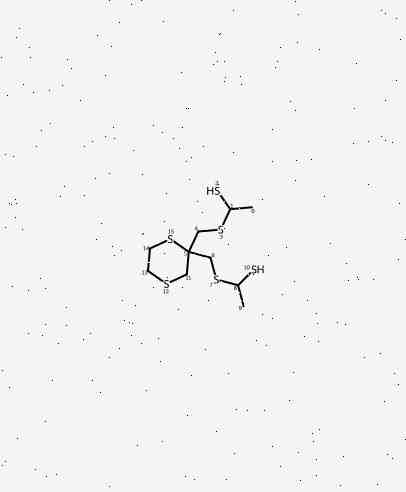 CC(S)SCC1(CSC(C)S)CSCCS1